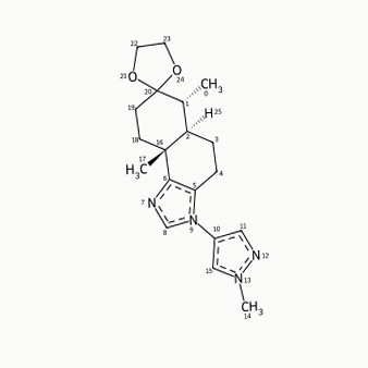 C[C@@H]1[C@H]2CCc3c(ncn3-c3cnn(C)c3)[C@]2(C)CCC12OCCO2